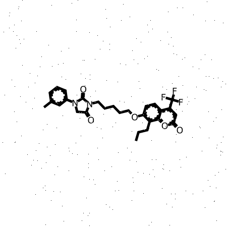 CCCc1c(OCCCCCN2C(=O)CN(c3cccc(C)c3)C2=O)ccc2c(C(F)(F)F)cc(=O)oc12